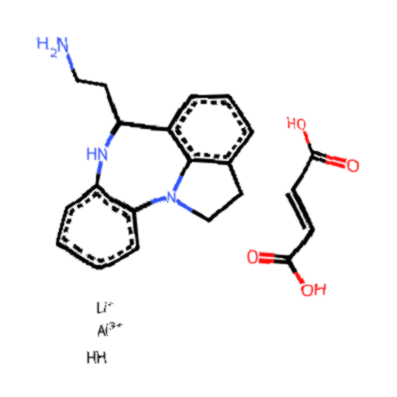 NCCC1Nc2ccccc2N2CCc3cccc1c32.O=C(O)C=CC(=O)O.[Al+3].[HH].[Li+]